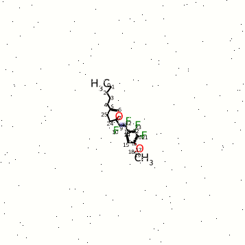 CCCCCC1=COC(/C(F)=C(\F)c2ccc(OCC)c(F)c2F)CC1